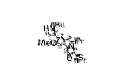 C=C/C(=C\NCCCC)c1cc2c(cc1OC)-c1cc(=O)c(C(=C)CCC)cn1C(C(C)C)C2